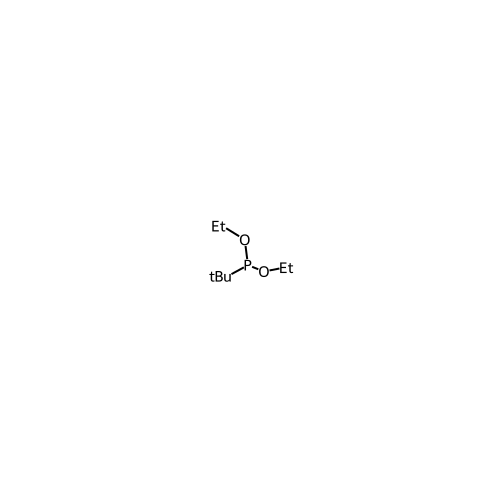 CCOP(OCC)C(C)(C)C